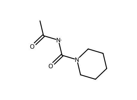 CC(=O)[N]C(=O)N1CCCCC1